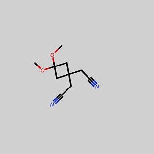 COC1(OC)CC(CC#N)(CC#N)C1